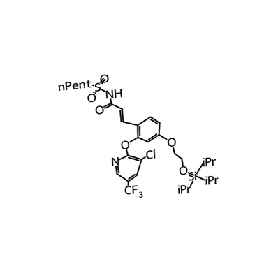 CCCCCS(=O)(=O)NC(=O)/C=C/c1ccc(OCCO[Si](C(C)C)(C(C)C)C(C)C)cc1Oc1ncc(C(F)(F)F)cc1Cl